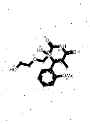 COc1ccccc1C1=C(C)C(=O)NC(=O)[N+]1(S)COCCO